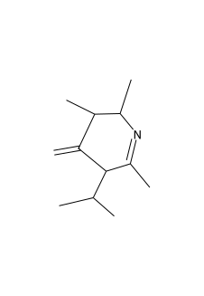 C=C1C(C)C(C)N=C(C)C1C(C)C